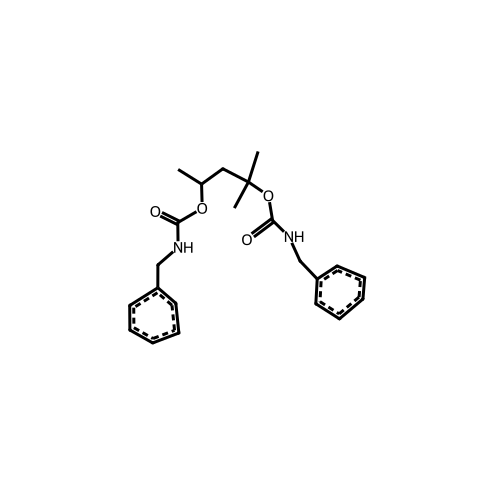 CC(CC(C)(C)OC(=O)NCc1ccccc1)OC(=O)NCc1ccccc1